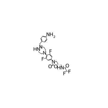 Nc1ccc(CN2CCN(c3c(F)cc(N4C[C@H](CNC(=O)C(F)F)OC4=O)cc3F)CCN2)cc1